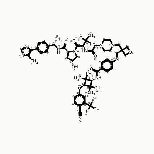 Cc1ncsc1-c1ccc([C@H](C)NC(=O)[C@@H]2C[C@@H](O)CN2C(=O)[C@@H](NC(=O)CN2CCN(CC3(CNc4ccc(C(=O)N[C@H]5C(C)(C)[C@H](Oc6ccc(C#N)c(C(F)(F)F)c6)C5(C)C)cc4)COC3)CC2)C(C)(C)C)cc1